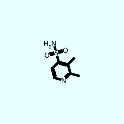 Cc1nccc(S(N)(=O)=O)c1C